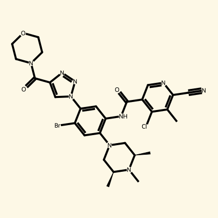 Cc1c(C#N)ncc(C(=O)Nc2cc(-n3cc(C(=O)N4CCOCC4)nn3)c(Br)cc2N2C[C@@H](C)N(C)[C@@H](C)C2)c1Cl